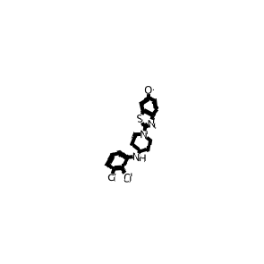 [O]c1ccc2nc(N3CCC(Nc4cccc(Cl)c4Cl)CC3)sc2c1